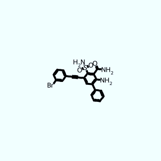 NC(=O)c1c(N)c(-c2ccccc2)cc(C#Cc2cccc(Br)c2)c1S(N)(=O)=O